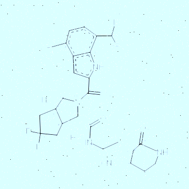 N#C[C@@H](C[C@H]1CCCNC1=O)NC(=O)[C@@H]1[C@H]2CC(F)(F)C[C@H]2CN1C(=O)c1cc2c(F)ccc(C(F)F)c2[nH]1